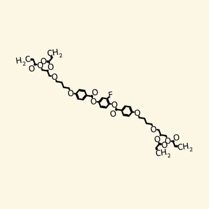 C=CC(=O)OCC(COCCCCOc1ccc(C(=O)Oc2ccc(OC(=O)c3ccc(OCCCCOCC(COC(=O)C=C)OC(=O)C=C)cc3)c(F)c2)cc1)OC(=O)C=C